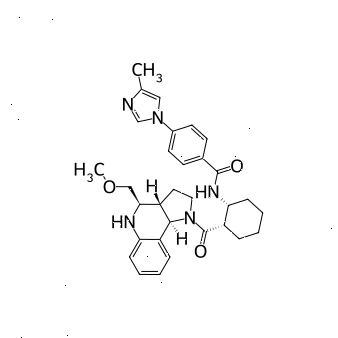 COC[C@@H]1Nc2ccccc2[C@H]2[C@H]1CCN2C(=O)[C@H]1CCCC[C@H]1NC(=O)c1ccc(-n2cnc(C)c2)cc1